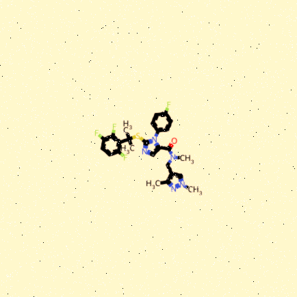 Cc1nn(C)cc1CN(C)C(=O)c1cnc(SC(C)(C)c2c(F)ccc(F)c2F)n1-c1ccc(F)cc1